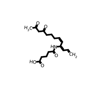 C=C/C=C(\C=C/CCCC(=O)CC(C)=O)NC(=O)CCCC(=O)O